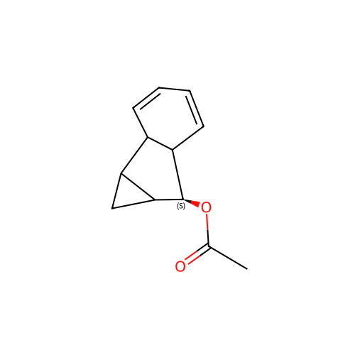 CC(=O)O[C@@H]1C2C=CC=CC2C2CC21